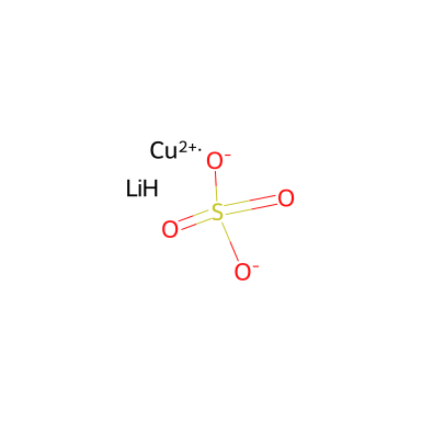 O=S(=O)([O-])[O-].[Cu+2].[LiH]